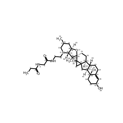 CCC(=O)NCC(=O)NCCN1C[C@@H](C)C[C@H]2O[C@]3(CC[C@H]4[C@@H]5CCC6=C[C@@H](O)CC[C@]6(C)[C@H]5CC45CC53C)[C@H](C)[C@@H]21